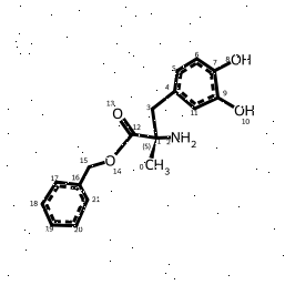 C[C@](N)(Cc1ccc(O)c(O)c1)C(=O)OCc1ccccc1